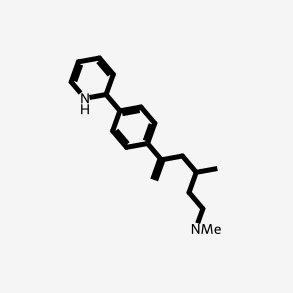 C=C(CC(C)CCNC)c1ccc(C2C=CC=CN2)cc1